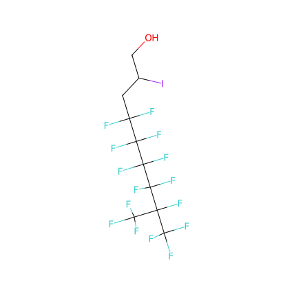 OCC(I)CC(F)(F)C(F)(F)C(F)(F)C(F)(F)C(F)(C(F)(F)F)C(F)(F)F